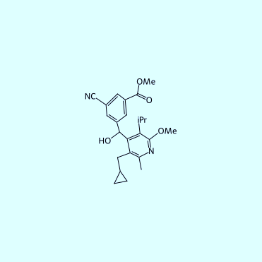 COC(=O)c1cc(C#N)cc(C(O)c2c(CC3CC3)c(C)nc(OC)c2C(C)C)c1